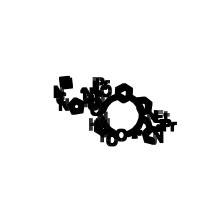 CCn1c(-c2cccnc2C(C)C)c2c3cc(ccc31)-c1cccc(c1)C[C@H](NC(=O)[C@H](C(C)C)N(C)C(=O)[C@H]1CC[C@H](N=C=NC34CC(C3)C4)C1)C(=O)N1CCC[C@H](N1)C(=O)OCC(C)(C)C2